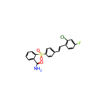 NC(=O)c1ccccc1S(=O)(=O)c1ccc(/C=C/c2ccc(F)cc2Cl)cc1